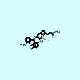 COC(=O)CCc1csc(CC2OC(c3cccc(OC)c3OC)c3cc(Cl)ccc3NC2=NN)n1